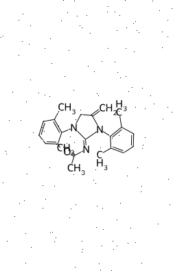 C=C1CN(c2c(C)cccc2C)C(=NC(C)=O)N1c1c(C)cccc1C